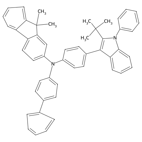 CC(C)(C)c1c(-c2ccc(N(c3ccc(-c4ccccc4)cc3)c3ccc4c(c3)C(C)(C)c3ccccc3-4)cc2)c2ccccc2n1-c1ccccc1